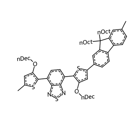 CCCCCCCCCCOc1cc(C)sc1-c1ccc(-c2sc(-c3ccc4c(c3)C(CCCCCCCC)(CCCCCCCC)c3cc(C)ccc3-4)cc2OCCCCCCCCCC)c2nsnc12